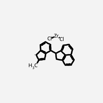 CC1=Cc2c(cccc2C2Cc3cccc4cccc2c34)[CH]1.[Cl][Zr][Cl]